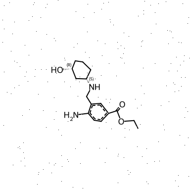 CCOC(=O)c1ccc(N)c(CN[C@H]2CCC[C@@H](O)C2)c1